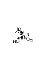 CCOc1ncccc1-c1ccc(C2(CNC(=O)[C@H]3CCNC3)CCN(c3ccc(Cl)cc3C#N)CC2)cn1